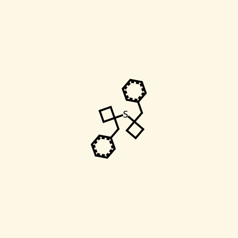 c1ccc(CC2(SC3(Cc4ccccc4)CCC3)CCC2)cc1